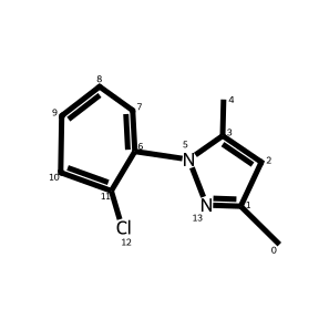 Cc1cc(C)n(-c2ccccc2Cl)n1